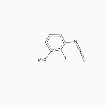 COc1cccc(N=C=O)c1I